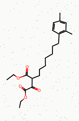 CCOC(=O)C(=O)C(CCCCCCCc1ccc(C)cc1C)C(=O)OCC